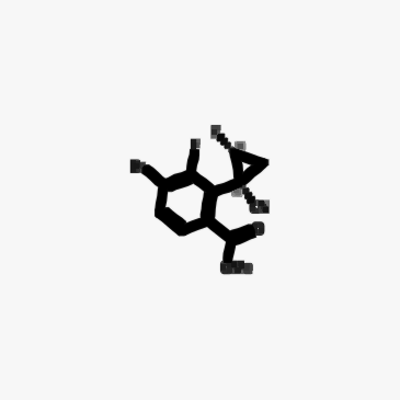 COC(=O)c1ccc(Br)c(F)c1[C@]1(C#N)C[C@H]1F